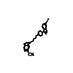 N#Cc1ccc2ccn(CCCCN3CCC(c4noc5cc(F)ccc45)CC3)c2c1